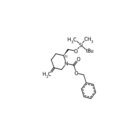 C=C1CC[C@@H](CO[Si](C)(C)C(C)(C)C)N(C(=O)OCc2ccccc2)C1